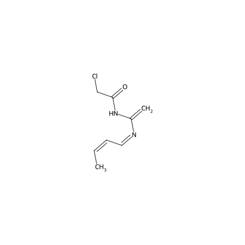 C=C(/N=C\C=C/C)NC(=O)CCl